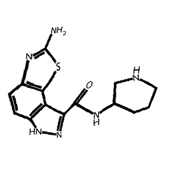 Nc1nc2ccc3[nH]nc(C(=O)NC4CCCNC4)c3c2s1